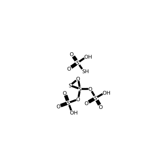 O=S(=O)(O)OS1(OS(=O)(=O)O)OS1.O=S(=O)(O)S